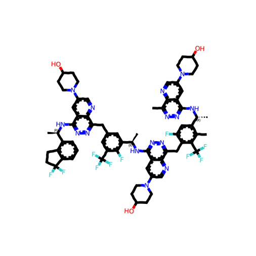 Cc1c([C@@H](C)Nc2nnc(C)c3ncc(N4CCC(O)CC4)cc23)cc(F)c(Cc2nnc(N[C@H](C)c3cc(Cc4nnc(N[C@H](C)c5cccc6c5CCC6(F)F)c5cc(N6CCC(O)CC6)cnc45)cc(C(F)(F)F)c3F)c3cc(N4CCC(O)CC4)cnc23)c1C(F)(F)F